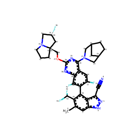 Cc1cc2[nH]nc(C#N)c2c(-c2c(F)cc3c(N4CC5CCC(C5)C4)nc(OC[C@@]45CCCN4C[C@H](F)C5)nc3c2F)c1C(F)F